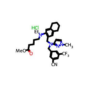 CCN(CCCCC(=O)OC)c1cc2c(cc1CN(Cc1cc(C#N)cc(C(F)(F)F)c1)c1ccn(C)n1)CCCC2.Cl